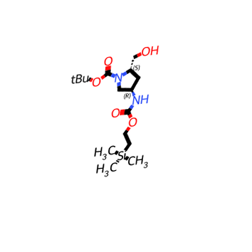 CC(C)(C)OC(=O)N1C[C@H](NC(=O)OCC[Si](C)(C)C)C[C@H]1CO